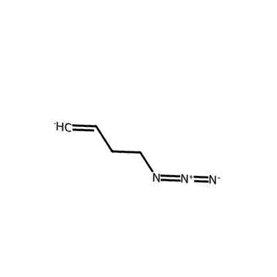 [CH]=CCCN=[N+]=[N-]